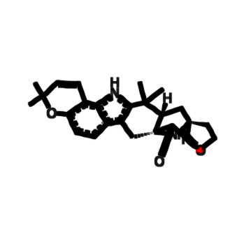 CC1(C)C=Cc2c(ccc3c4c([nH]c23)C(C)(C)[C@@H]2C[C@]35CCCN3C(=O)[C@@]2(C4)NC5=O)O1